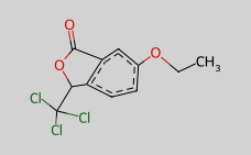 CCOc1ccc2c(c1)C(=O)OC2C(Cl)(Cl)Cl